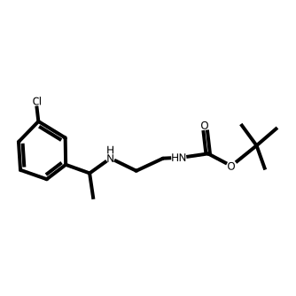 CC(NCCNC(=O)OC(C)(C)C)c1cccc(Cl)c1